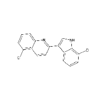 Clc1cccc2nc(-c3c[nH]c4c(Cl)cccc34)ccc12